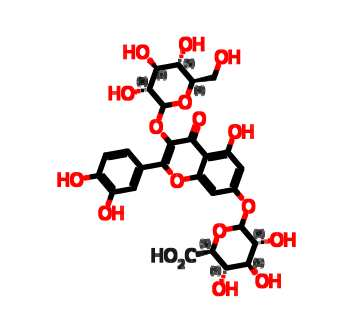 O=C(O)[C@H]1OC(Oc2cc(O)c3c(=O)c(OC4O[C@H](CO)[C@@H](O)[C@H](O)[C@H]4O)c(-c4ccc(O)c(O)c4)oc3c2)[C@H](O)[C@@H](O)[C@@H]1O